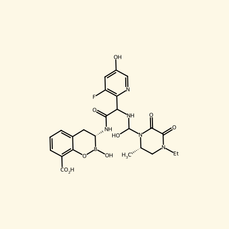 CCN1C[C@H](C)N(C(O)NC(C(=O)N[C@H]2Cc3cccc(C(=O)O)c3OB2O)c2ncc(O)cc2F)C(=O)C1=O